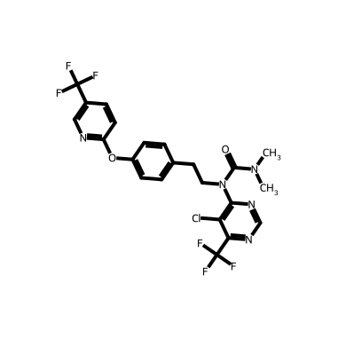 CN(C)C(=O)N(CCc1ccc(Oc2ccc(C(F)(F)F)cn2)cc1)c1ncnc(C(F)(F)F)c1Cl